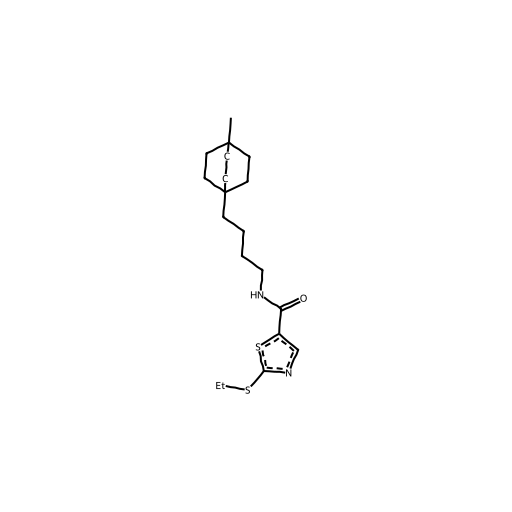 CCSc1ncc(C(=O)NCCCCC23CCC(C)(CC2)CC3)s1